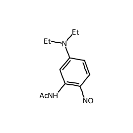 CCN(CC)c1ccc(N=O)c(NC(C)=O)c1